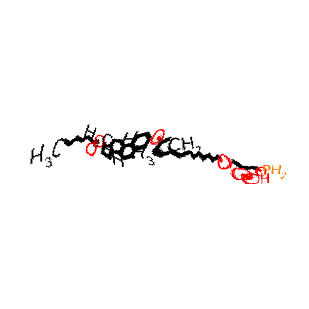 C=CC(/C=C\CCCCCCCCCOCC(COP)OO)OC1C=C2CC[C@H]3[C@@H]4CC[C@H](OC(=O)CCCCCC)[C@@]4(C)CC[C@@H]3[C@@]2(C)CC1